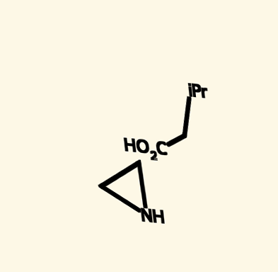 C1CN1.CC(C)CC(=O)O